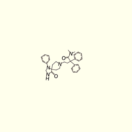 CN(C)C(=O)C(CCN1CCC2(CC1)C(=O)NCN2c1ccccc1)(c1ccccc1)c1ccccc1